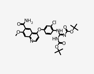 COc1cc2nccc(Oc3ccc(N/C(=N\C(=O)OC(C)(C)C)NC(=O)OC(C)(C)C)c(Cl)c3)c2cc1C(N)=O